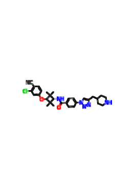 CC1(C)[C@H](NC(=O)c2ccc(-n3cc(CC4CCNCC4)nn3)cc2)C(C)(C)[C@H]1Oc1ccc(C#N)c(Cl)c1